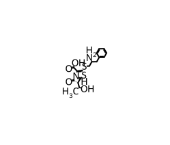 C[C@H](O)[C@@H]1C(=O)N2C(C(=O)O)=C(SCC(N)Cc3ccccc3)S[C@H]12